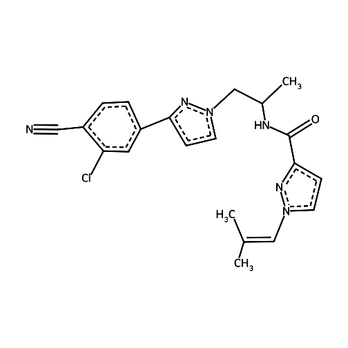 CC(C)=Cn1ccc(C(=O)NC(C)Cn2ccc(-c3ccc(C#N)c(Cl)c3)n2)n1